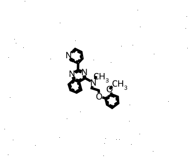 COc1ccccc1OCCN(C)c1nc(-c2cccnc2)nc2ccccc12